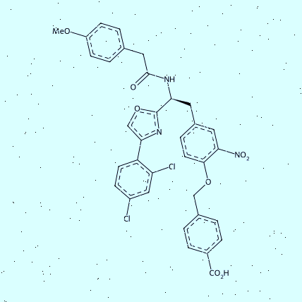 COc1ccc(CC(=O)N[C@@H](Cc2ccc(OCc3ccc(C(=O)O)cc3)c([N+](=O)[O-])c2)c2nc(-c3ccc(Cl)cc3Cl)co2)cc1